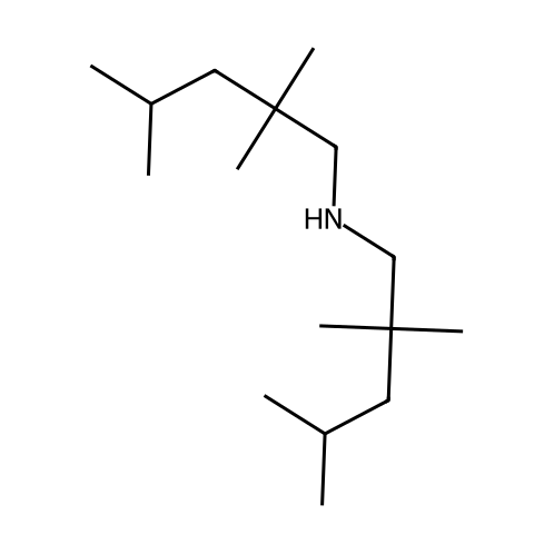 CC(C)CC(C)(C)CNCC(C)(C)CC(C)C